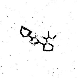 CSC(C)C(=O)N1CCCCC1c1nnc(-c2ccccc2)[nH]1